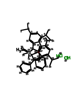 CC(C)c1cc(C(C)C)c2c(c1)[CH]([Ti]([CH3])([CH3])(=[SiH2])[CH]1C(c3ccccc3)=Cc3c(C(C)C)cc(C(C)C)cc31)C(c1ccccc1)=C2.Cl.Cl